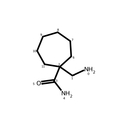 N[CH]C1(C(N)=O)CCCCCC1